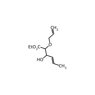 C=CCOC(C(=O)OCC)C(O)/C=C/C